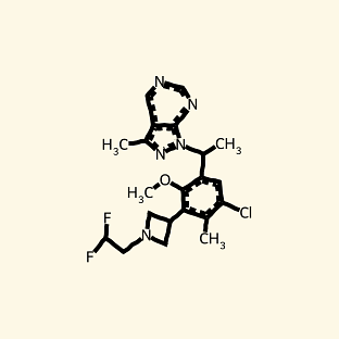 COc1c(C(C)n2nc(C)c3cncnc32)cc(Cl)c(C)c1C1CN(CC(F)F)C1